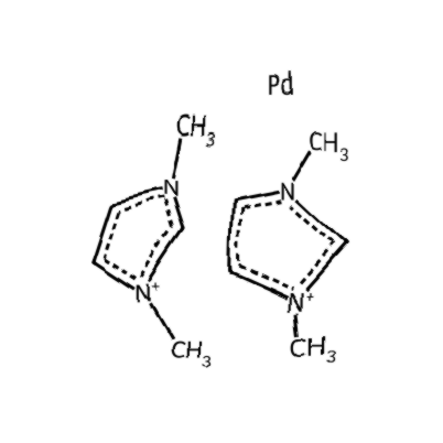 Cn1cc[n+](C)c1.Cn1cc[n+](C)c1.[Pd]